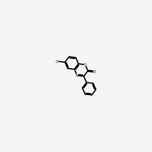 O=c1oc2ccc(Cl)cc2nc1-c1ccccc1